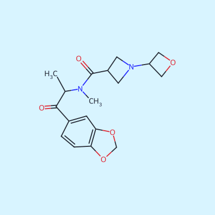 CC(C(=O)c1ccc2c(c1)OCO2)N(C)C(=O)C1CN(C2COC2)C1